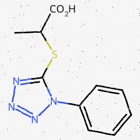 CC(Sc1nnnn1-c1ccccc1)C(=O)O